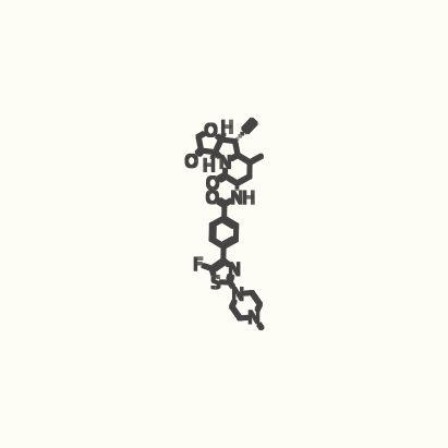 C#C[C@@H]1C2C(C)C[C@H](NC(=O)c3ccc(-c4nc(N5CCN(C)CC5)sc4F)cc3)C(=O)N2[C@@H]2C(=O)CO[C@H]12